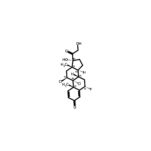 C[C@]12C=CC(=O)C=C1[C@@H](F)C[C@H]1[C@@H]3CC[C@](O)(C(=O)CO)[C@@]3(C)C[C@H](Cl)[C@@]12Cl